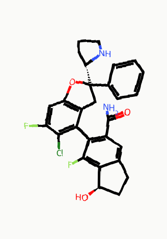 NC(=O)c1cc2c(c(F)c1-c1c(Cl)c(F)cc3c1CC(c1ccccc1)([C@@H]1CCCN1)O3)[C@H](O)CC2